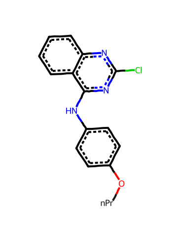 CCCOc1ccc(Nc2nc(Cl)nc3ccccc23)cc1